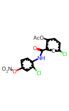 CC(=O)Oc1ccc(Cl)cc1C(=O)Nc1ccc(O[N+](=O)[O-])cc1Cl